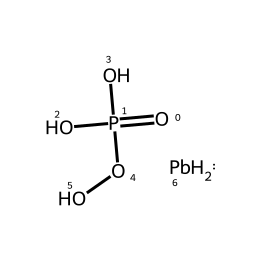 O=P(O)(O)OO.[PbH2]